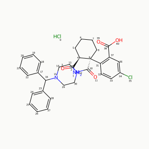 Cl.NC(=O)[C@H]1CCCC[C@@]1(C(=O)N1CCN(C(c2ccccc2)c2ccccc2)CC1)c1ccc(Cl)cc1C(=O)O